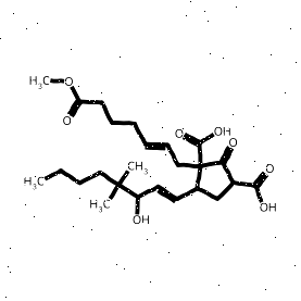 CCCCC(C)(C)C(O)C=CC1CC(C(=O)O)C(=O)C1(CC=CCCCC(=O)OC)C(=O)O